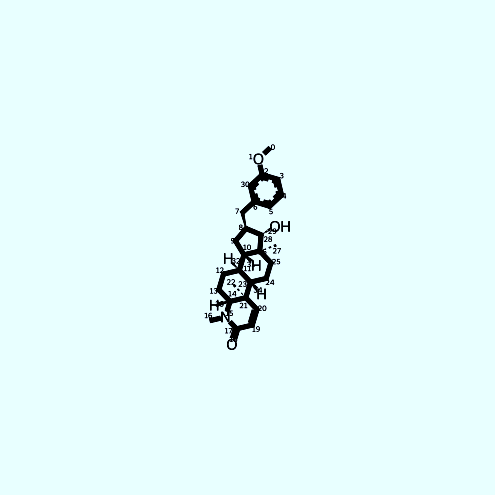 COc1cccc(C[C@@H]2C[C@H]3[C@@H]4CC[C@H]5N(C)C(=O)C=C[C@]5(C)[C@H]4CC[C@]3(C)[C@H]2O)c1